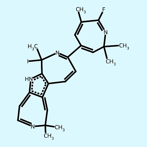 CC1=CC(C2=NC(C)(I)c3[nH]c4c(c3C=C2)=CC(C)(C)N=CC=4)=CC(C)(C)N=C1F